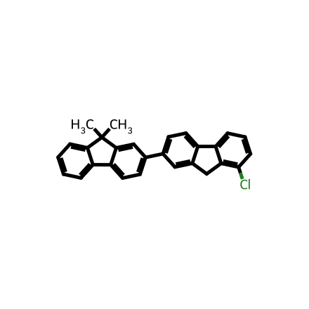 CC1(C)c2ccccc2-c2ccc(-c3ccc4c(c3)Cc3c(Cl)cccc3-4)cc21